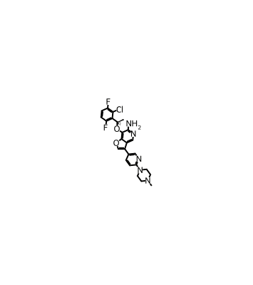 C[C@@H](Oc1c(N)ncc2c(-c3ccc(N4CCN(C)CC4)nc3)coc12)c1c(F)ccc(F)c1Cl